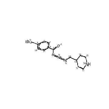 CC(C)(C)c1ccc(C(=O)N=[N+]=NCC2CCNCC2)cc1